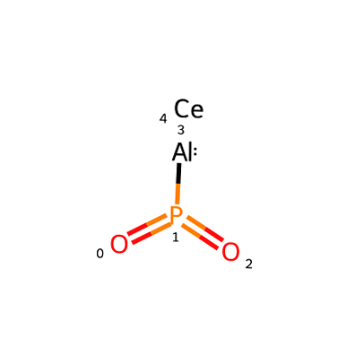 O=[P](=O)[Al].[Ce]